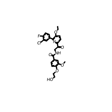 CCOc1ccc(C(=O)CNC(=O)c2ccc(OCCO)c(OC)c2)nc1-c1ccc(F)c(Cl)c1